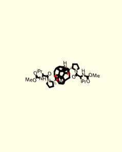 COC(=O)NC(C(=O)N1CCC[C@H]1c1nc(-c2cc3ccc2CCc2ccc(c(-c4c[nH]c([C@@H]5CCCN5C(=O)C(NC(=O)OC)C(C)C)n4)c2)CC3)c[nH]1)C(C)C